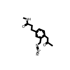 CNC(=O)CCc1ccc(CC(C)=O)c(CN=[N+]=[N-])c1